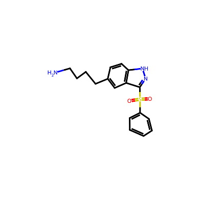 NCCCCc1ccc2[nH]nc(S(=O)(=O)c3ccccc3)c2c1